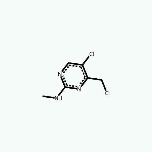 CNc1ncc(Cl)c(CCl)n1